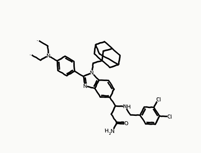 [CH2]CN(C[CH2])c1ccc(-c2nc3cc(C(CC(N)=O)NCc4ccc(Cl)c(Cl)c4)ccc3n2CC23CC4CC(CC(C4)C2)C3)cc1